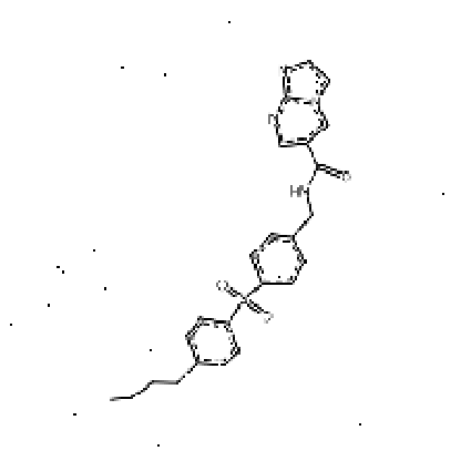 CCCCc1ccc(S(=O)(=O)c2ccc(CNC(=O)c3cnc4nccn4c3)cc2)cc1